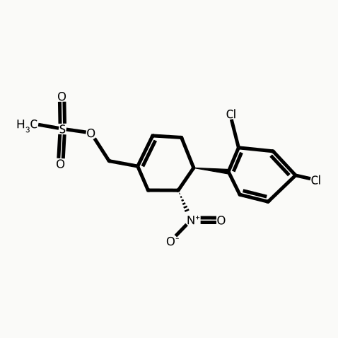 CS(=O)(=O)OCC1=CC[C@@H](c2ccc(Cl)cc2Cl)[C@H]([N+](=O)[O-])C1